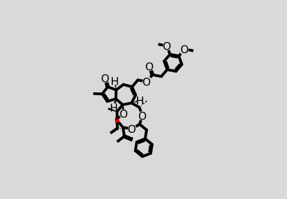 C=C(C)[C@@]1(C)C[C@@H](C)[C@]2(OCCC)[C@@H]3C=C(C)C(=O)[C@H]3CC(COC(=O)Cc3ccc(OC)c(OC)c3)=C[C@H]2[C@H](C)OC(Cc2ccccc2)O1